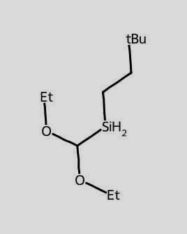 CCOC(OCC)[SiH2]CCC(C)(C)C